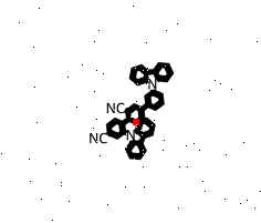 N#CC1=CC(c2cccc(-n3c4ccccc4c4ccccc43)c2)=CCC1c1ccc(C#N)cc1-n1c2ccccc2c2ccccc21